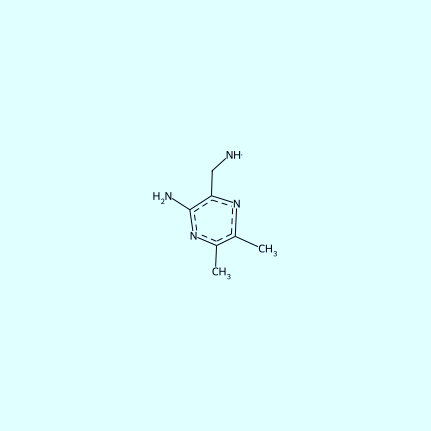 Cc1nc(N)c(C[NH])nc1C